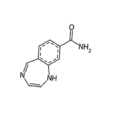 NC(=O)c1ccc2c(c1)NC=CN=C2